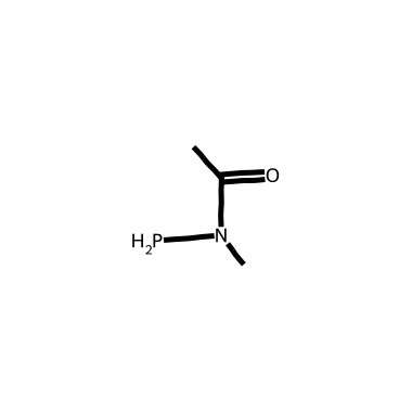 CC(=O)N(C)P